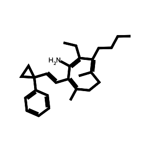 CCCCC1=C(\C)CC/C(C)=C(/C=C/C2(c3ccccc3)CC2)C(\N)=C/1CC